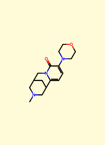 CN1CC2CC(C1)c1ccc(N3CCOCC3)c(=O)n1C2